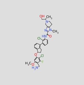 COc1cc(OC2CCc3c(-c4cccc(NC(=O)c5nc6c(n5C)CCN(C(C)CO)C6)c4Cl)cccc32)c(Cl)c(F)c1CN